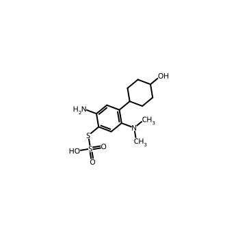 CN(C)c1cc(SS(=O)(=O)O)c(N)cc1C1CCC(O)CC1